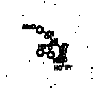 COc1ccc(-c2cnc(-c3nc4oc3C3Nc5ccccc5-c5cc(ccc5O3)C[C@H](NC(=O)[C@@H](O)C(C)C)C(=O)NC4C(C)C)o2)cc1